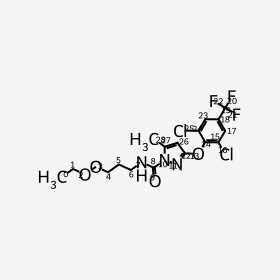 CCOOCCCNC(=O)n1nc(Oc2c(Cl)cc(C(F)(F)F)cc2Cl)cc1C